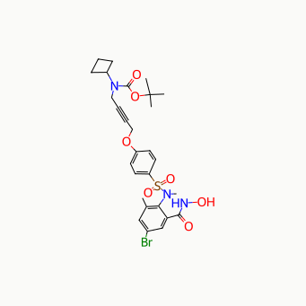 Cc1cc(Br)cc(C(=O)NO)c1N(C)S(=O)(=O)c1ccc(OCC#CCN(C(=O)OC(C)(C)C)C2CCC2)cc1